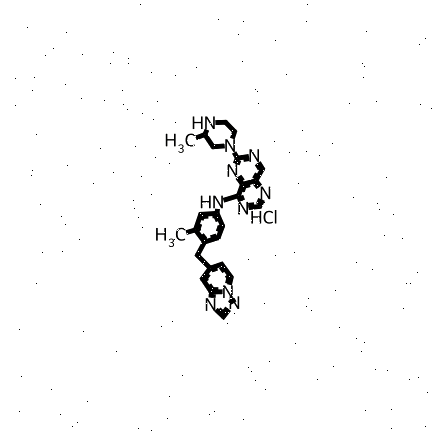 Cc1cc(Nc2ncnc3cnc(N4CCNC(C)C4)nc23)ccc1Cc1ccn2ncnc2c1.Cl